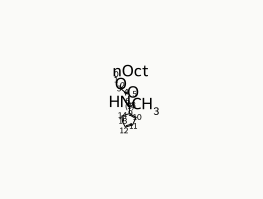 CCCCCCCCCOCC(=O)N[C@@H](C)c1ccccc1